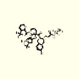 CCC[C@H]1N(C(=O)c2ncccc2C(F)(F)F)CCC[C@]1(Oc1csc(C(F)(F)F)c1)C(=O)N1Cc2ccc(Cl)cc2C[C@@H]1CCC(=O)NS(C)(=O)=O